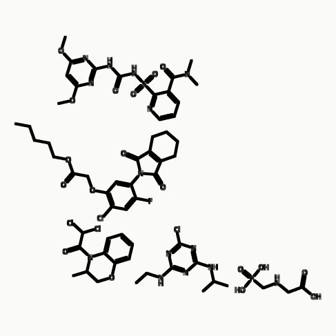 CC1COc2ccccc2N1C(=O)C(Cl)Cl.CCCCCOC(=O)COc1cc(N2C(=O)C3=C(CCCC3)C2=O)c(F)cc1Cl.CCNc1nc(Cl)nc(NC(C)C)n1.COc1cc(OC)nc(NC(=O)NS(=O)(=O)c2ncccc2C(=O)N(C)C)n1.O=C(O)CNCP(=O)(O)O